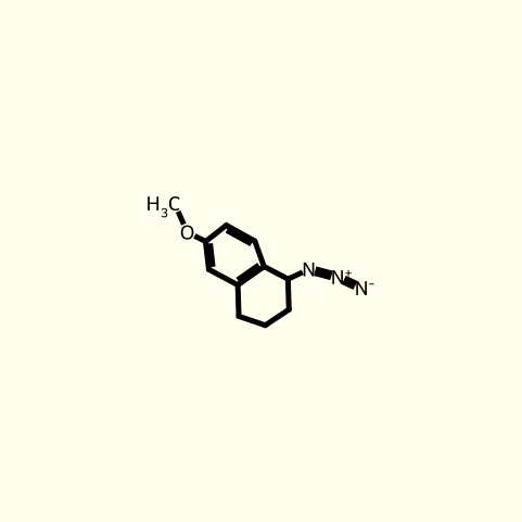 COc1ccc2c(c1)CCCC2N=[N+]=[N-]